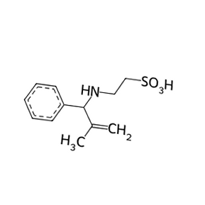 C=C(C)C(NCCS(=O)(=O)O)c1ccccc1